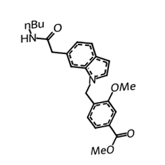 CCCCNC(=O)Cc1ccc2ccn(Cc3ccc(C(=O)OC)cc3OC)c2c1